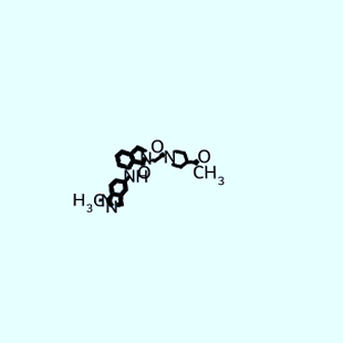 CC(=O)C1CCN(C(=O)Cn2ccc3cccc(Nc4ccc5c(cnn5C)c4)c3c2=O)CC1